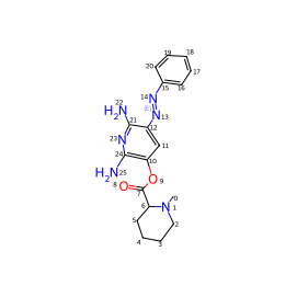 CN1CCCCC1C(=O)Oc1cc(/N=N/c2ccccc2)c(N)nc1N